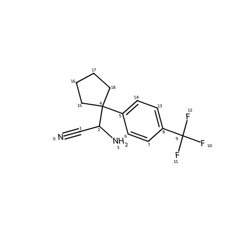 N#CC(N)C1(c2ccc(C(F)(F)F)cc2)CCCC1